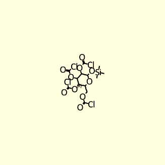 C[Si](C)(C)OC1OC(COC(=O)Cl)[C@@H](OC(=O)Cl)C(OC(=O)Cl)C1OC(=O)Cl